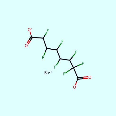 O=C([O-])C(F)C(F)C(F)C(F)C(F)C(F)(F)C(=O)[O-].[Ba+2]